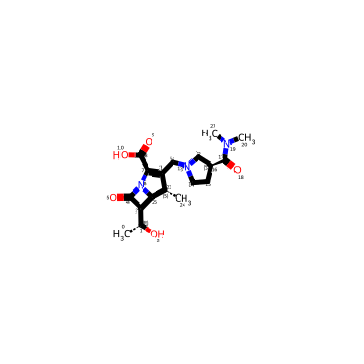 C[C@@H](O)C1C(=O)N2C(C(=O)O)=C(CN3CC[C@H](C(=O)N(C)C)C3)[C@H](C)C12